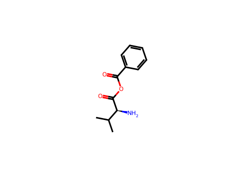 CC(C)[C@H](N)C(=O)OC(=O)c1ccccc1